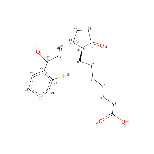 O=C(O)CCCCCC[C@@H]1C(=O)CC[C@H]1C=CC(=O)c1ccccc1F